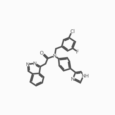 O=C(Cc1nncc2ccccc12)N(Cc1cc(F)cc(Cl)c1)c1ccc(-c2c[nH]cn2)cc1